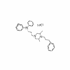 CC1CN(CCCN(c2ccccc2)c2ccccc2)CC(C)N1CCCc1ccccc1.Cl